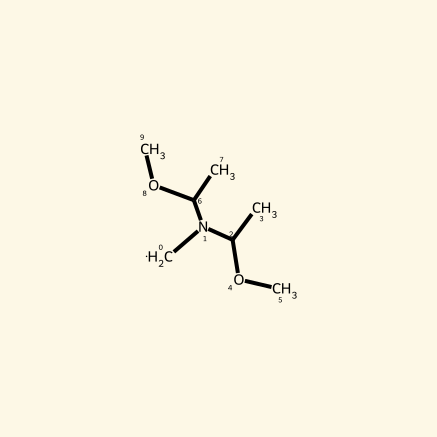 [CH2]N(C(C)OC)C(C)OC